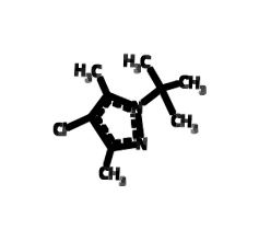 Cc1nn(C(C)(C)C)c(C)c1Cl